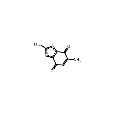 Cc1nc2c(s1)C(=O)C(N)=CC2=O